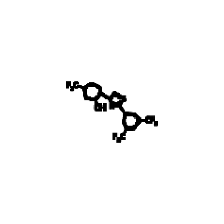 Oc1cc(C(F)(F)F)ccc1-c1csc(-c2cc(C(F)(F)F)cc(C(F)(F)F)c2)n1